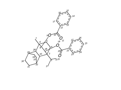 CC(C)C12CCC(C)(C(OC(=O)c3ccccc3)C1OC(=O)c1ccccc1)C1C3CCC(CC3)C12